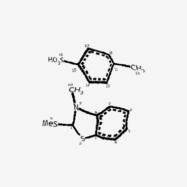 CSC1Sc2ccccc2N1C.Cc1ccc(S(=O)(=O)O)cc1